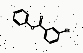 CCc1cccc(C(=O)Oc2cc[c]cc2)c1